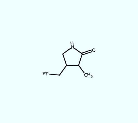 CC1C(=O)NCC1C[18F]